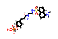 CN(C)c1cccc2c(S(=O)(=O)NCCNC(=O)CCc3ccc(OP(=O)(O)O)cc3)cccc12